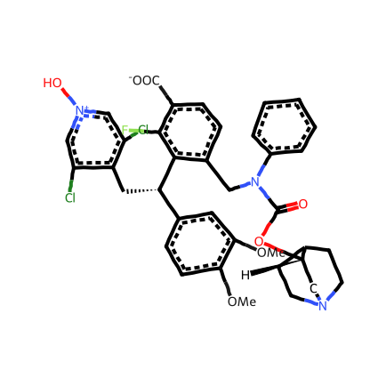 COc1ccc([C@H](Cc2c(Cl)c[n+](O)cc2Cl)c2c(CN(C(=O)O[C@H]3CN4CCC3CC4)c3ccccc3)ccc(C(=O)[O-])c2F)cc1OC